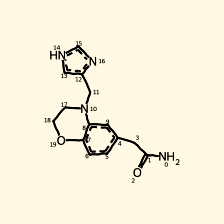 NC(=O)Cc1ccc2c(c1)N(Cc1c[nH]cn1)CCO2